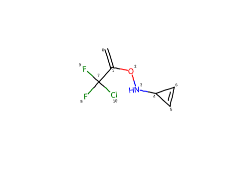 C=C(ONC1C=C1)C(F)(F)Cl